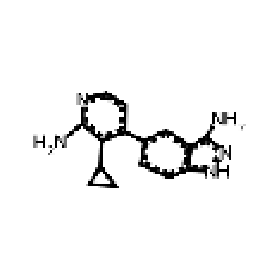 Nc1nccc(-c2ccc3[nH]nc(N)c3c2)c1C1CC1